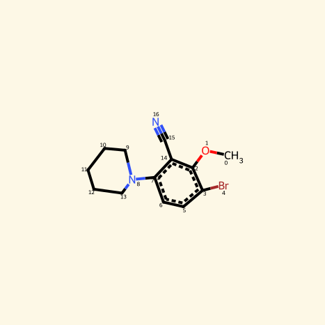 COc1c(Br)ccc(N2CCCCC2)c1C#N